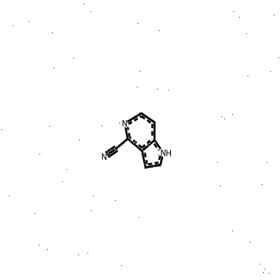 N#Cc1nccc2[nH]ccc12